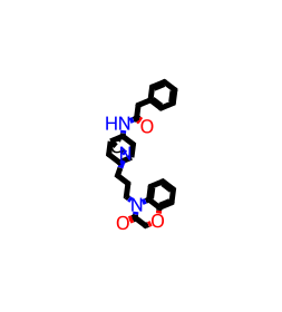 O=C(Cc1ccccc1)NC1CC2CCC1CN2CCCN1C(=O)COc2ccccc21